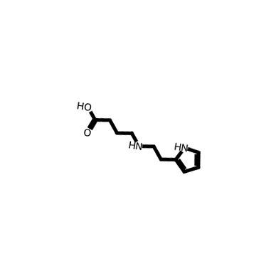 O=C(O)CCCNCCc1ccc[nH]1